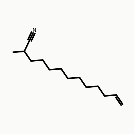 [CH2]C(C#N)CCCCCCCCCC=C